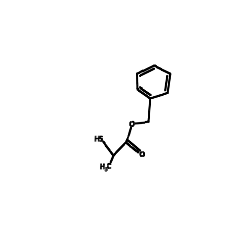 CC(S)C(=O)OCc1ccccc1